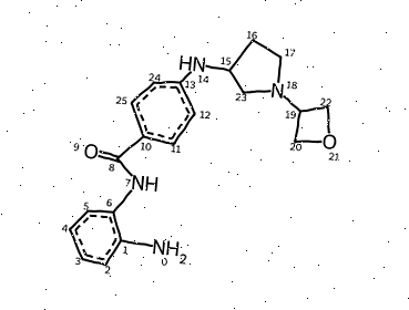 Nc1ccccc1NC(=O)c1ccc(NC2CCN(C3COC3)C2)cc1